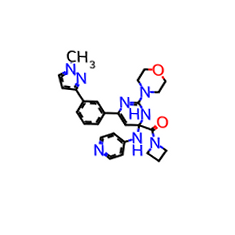 Cn1ccc(-c2cccc(C3=CC(Nc4ccncc4)(C(=O)N4CCC4)NC(N4CCOCC4)=N3)c2)n1